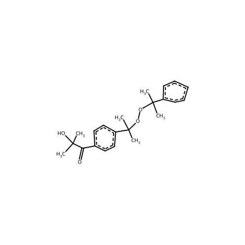 CC(C)(O)C(=O)c1ccc(C(C)(C)OOC(C)(C)c2ccccc2)cc1